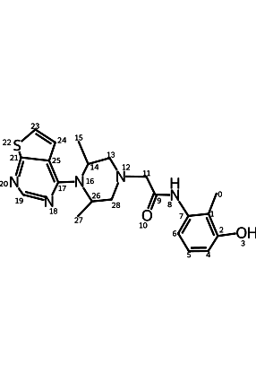 Cc1c(O)cccc1NC(=O)CN1CC(C)N(c2ncnc3sccc23)C(C)C1